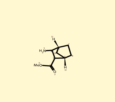 COC(=O)C1C(N)[C@@H]2CC[C@H]1C2